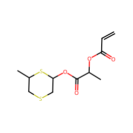 C=CC(=O)OC(C)C(=O)OC1CSCC(C)S1